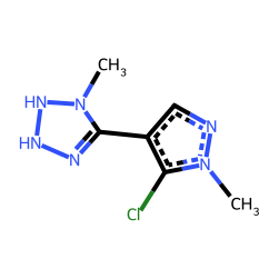 CN1NNN=C1c1cnn(C)c1Cl